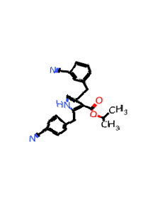 CC(C)OC(=O)c1c(Cc2cccc(C#N)c2)c[nH]c1Cc1ccc(C#N)cc1